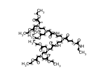 CCNC(=O)SCCC(=O)N(CCNC(=O)CN(CCN(CC(=O)OCC)CC(=O)OCC)CC(=O)OCC)CCNC(=O)CN(CCN(CC(=O)OCC)CC(O)OCC)CC(=O)OCC